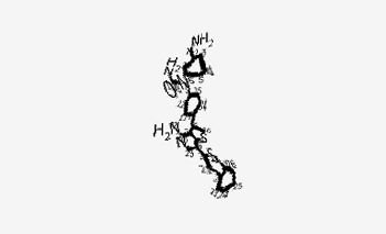 NCc1cccc(N(C(N)=O)c2ccc(-c3csc4c(-c5cc6ccccc6s5)cnc(N)c34)cc2)c1